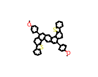 COc1ccc(-c2cc3cc4c(cc(-c5ccc(OC)cc5)c5ccc6c7ccccc7sc6c54)cc3c3c2ccc2c4ccccc4sc23)cc1